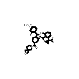 O=C(O)c1ccc(-c2nn(C(O)c3c(Cl)cccc3C3(C(F)F)CC3)c3c2CCC(C(=O)N2CCC4(COC4)C2)C3)c(F)c1